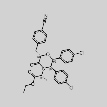 CCOC(=O)[C@@H](C)N1C(=O)[C@H](Cc2ccc(C#N)cc2)O[C@@H](c2ccc(Cl)cc2)[C@H]1c1ccc(Cl)cc1